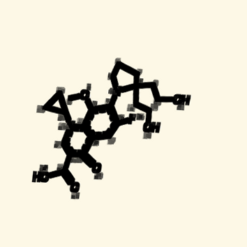 COc1c(N2CCCC2(CCO)CCO)c(F)cc2c(=O)c(C(=O)O)cn(C3CC3)c12